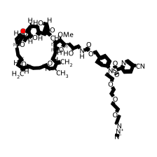 C=C1C[C@@H]2CC[C@@]34C[C@H]5OC6[C@@H](O[C@H]7CC[C@H](CC(=O)C[C@@H]8[C@@H](OC)[C@@H](C[C@H](O)CNC(=O)OCc9ccc(N(CCOCCOCCOCCN=[N+]=[N-])S(=O)(=O)c%10ccc(C#N)cn%10)cc9)O[C@H]8C[C@H]8O[C@@H](CC[C@@H]1O2)C[C@@H](C)C8=C)O[C@@H]7[C@@H]6O3)[C@H]5O4